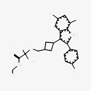 CC(C)(NCC1CC(c2c(-c3ccc(F)cc3)[nH]c3c(F)cc(F)cc23)C1)C(=O)NCC(F)(F)F